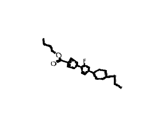 CCCCOC(=O)c1ccc(-c2ccc(C3CCC(CCC)CC3)cc2F)cc1